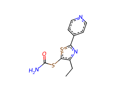 CCc1nc(-c2ccncc2)sc1SC(N)=O